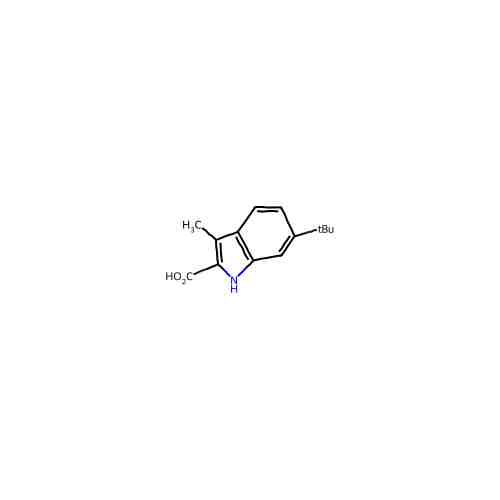 Cc1c(C(=O)O)[nH]c2cc(C(C)(C)C)ccc12